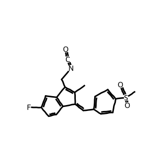 CC1=C(CN=C=O)c2cc(F)ccc2C1=Cc1ccc(S(C)(=O)=O)cc1